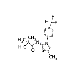 Cc1cn(-c2ccc(C(F)(F)F)cc2)/c(=N/C(=O)C(C)(C)C)s1